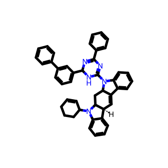 C1=CC(N2c3ccccc3[C@@H]3C=C4c5ccccc5N(C5=NC(c6ccccc6)=NC(c6cccc(-c7ccccc7)c6)N5)C4CC32)CCC1